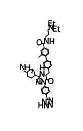 CCN(CC)CCCNC(=O)c1ccc(-c2ccc(C[C@H](NC(=O)C3CCC(CN)CC3)C(=O)Nc3ccc(-c4nn[nH]n4)cc3)cc2)c(C)c1